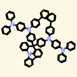 c1ccc(-c2ccc(N(c3ccc(N(c4ccccc4)c4ccccc4)cc3)c3ccc(C4(c5ccc(N(c6ccc(-c7ccccc7)cc6)c6ccc(N(c7ccccc7)c7ccccc7)cc6)cc5)c5ccccc5-n5c6ccccc6c6cccc4c65)cc3)cc2)cc1